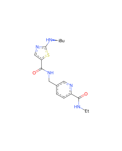 CCNC(=O)c1ccc(CNC(=O)c2cnc(N[C@H](C)CC)s2)cn1